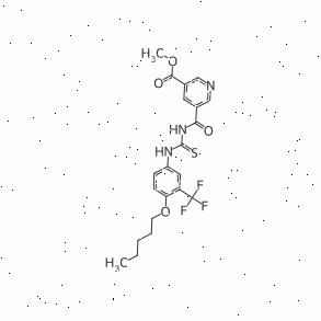 CCCCCOc1ccc(NC(=S)NC(=O)c2cncc(C(=O)OC)c2)cc1C(F)(F)F